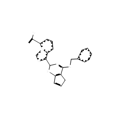 NC(=O)c1cccc2c(C3N=C(NCc4ccccc4)C4=C(C=CC4)N3)ncn12